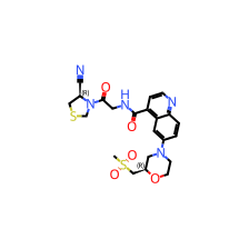 CS(=O)(=O)C[C@H]1CN(c2ccc3nccc(C(=O)NCC(=O)N4CSC[C@H]4C#N)c3c2)CCO1